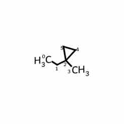 CCC1(C)CC1